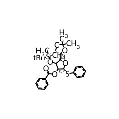 CC1(C)OC[C@@H]([C@@H]2O[C@@H](Sc3ccccc3)C(OC(=O)c3ccccc3)C2O[Si](C)(C)C(C)(C)C)O1